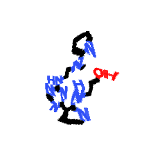 CN(CCNc1ncnc(-c2cccnc2NCCCO)n1)c1ccccn1